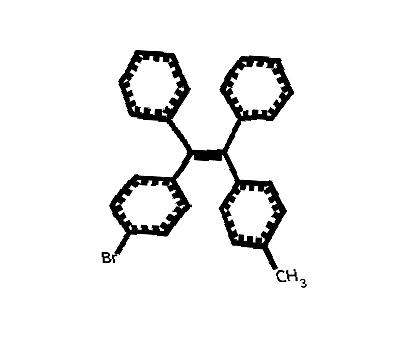 Cc1ccc(C(=C(c2ccccc2)c2ccc(Br)cc2)c2ccccc2)cc1